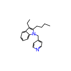 CCCCc1c(CC)c2ccccc2n1Cc1ccncc1